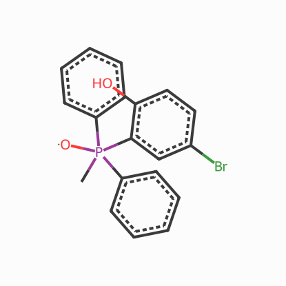 CP([O])(c1ccccc1)(c1ccccc1)c1cc(Br)ccc1O